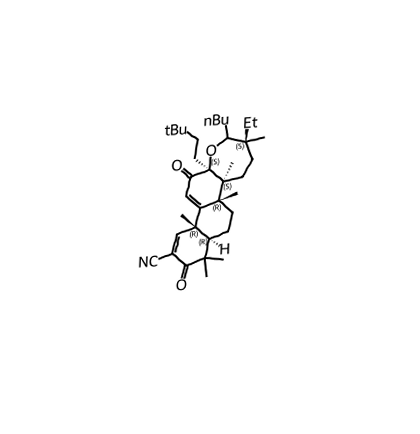 CCCCC1O[C@]2(CCC(C)(C)C)C(=O)C=C3[C@@]4(C)C=C(C#N)C(=O)C(C)(C)[C@@H]4CC[C@@]3(C)[C@]2(C)CC[C@]1(C)CC